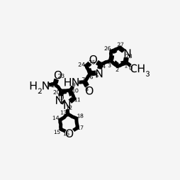 Cc1cc(-c2nc(C(=O)Nc3cn(C4CCOCC4)nc3C(N)=O)co2)ccn1